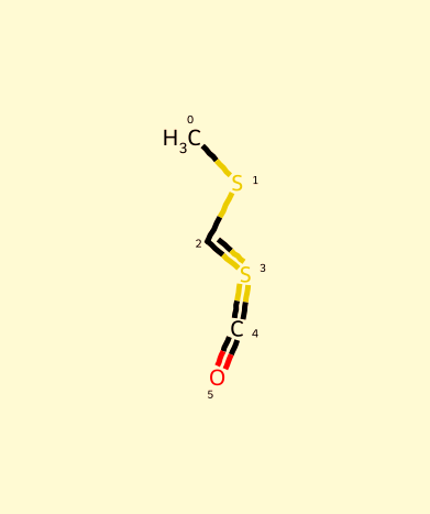 CSC=S=C=O